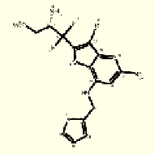 COC[C@H](N)C(F)(F)c1oc2c(NCc3cccs3)cc(Cl)nc2c1Br